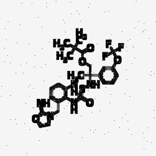 CC(C)(C)C(=O)OCC(C)(NSC(=O)Nc1c(N)cccc1Cn1ccoc1=N)c1cccc(OC(F)(F)F)c1